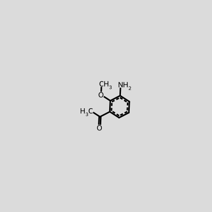 COc1c(N)cccc1C(C)=O